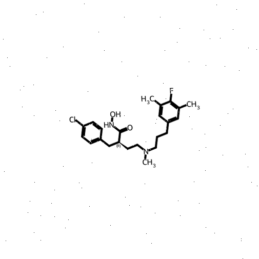 Cc1cc(CCCN(C)CC[C@@H](Cc2ccc(Cl)cc2)C(=O)NO)cc(C)c1F